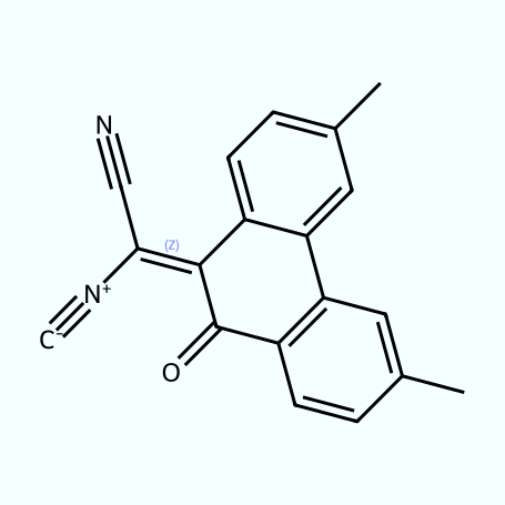 [C-]#[N+]/C(C#N)=C1\C(=O)c2ccc(C)cc2-c2cc(C)ccc21